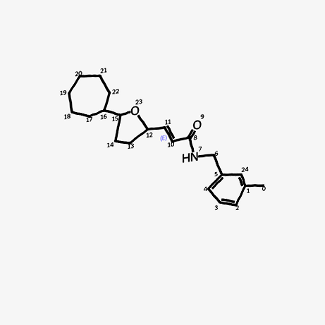 Cc1cccc(CNC(=O)/C=C/C2CCC(C3CCCCCC3)O2)c1